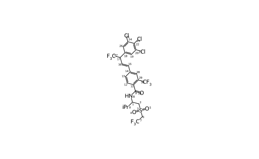 CC(C)C(CS(=O)(=O)CC(F)(F)F)NC(=O)c1ccc(/C=C/C(c2cc(Cl)c(Cl)c(Cl)c2)C(F)(F)F)cc1C(F)(F)F